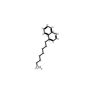 CCCCCCCCc1ccnc2ccccc12